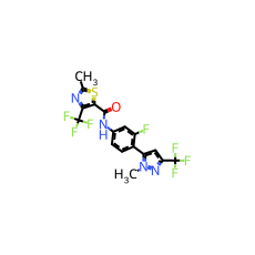 Cc1nc(C(F)(F)F)c(C(=O)Nc2ccc(-c3cc(C(F)(F)F)nn3C)c(F)c2)s1